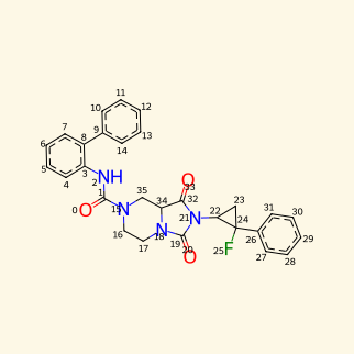 O=C(Nc1ccccc1-c1ccccc1)N1CCN2C(=O)N(C3CC3(F)c3ccccc3)C(=O)C2C1